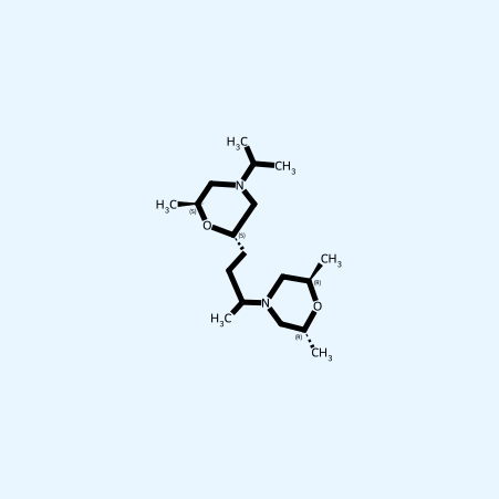 CC(C)N1C[C@H](CCC(C)N2C[C@@H](C)O[C@H](C)C2)O[C@@H](C)C1